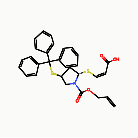 C=CCOC(=O)N1C[C@@H](SC(c2ccccc2)(c2ccccc2)c2ccccc2)C[C@@H]1S/C=C\C(=O)O